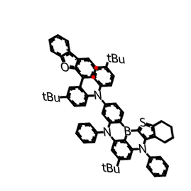 CC(C)(C)c1ccc(N(c2ccc3c(c2)N(c2ccccc2)c2cc(C(C)(C)C)cc4c2B3c2sc3c(c2N4c2ccccc2)CCCC3)c2ccc(C(C)(C)C)cc2-c2cccc3c2oc2ccccc23)cc1